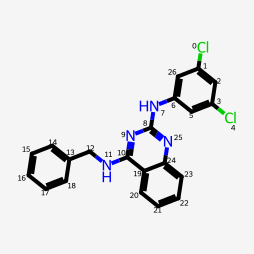 Clc1cc(Cl)cc(Nc2nc(NCc3ccccc3)c3ccccc3n2)c1